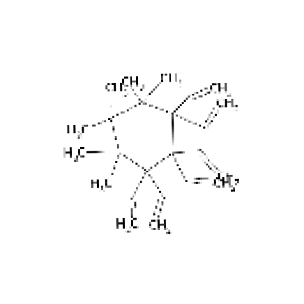 C=CC1(C=C)C(C)(C)C(C)(C)C(C)(C)C(C=C)(C=C)C1(C=C)C=C